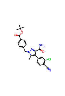 Cc1c(-c2ccc(C#N)c(Cl)c2)c(C(N)=O)nn1Cc1ccc(C(=O)OC(C)(C)C)cc1